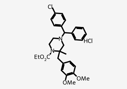 CCOC(=O)N1CCN(C(c2ccccc2)c2ccc(Cl)cc2)CC1(C)Cc1ccc(OC)c(OC)c1.Cl